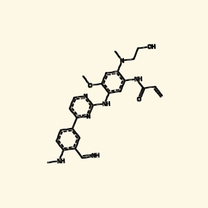 C=CC(=O)Nc1cc(Nc2nccc(-c3ccc(NC)c(C=N)c3)n2)c(OC)cc1N(C)CCO